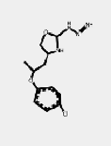 CC(C[C@H]1COC(NN=N)N1)Oc1ccc(Cl)cc1